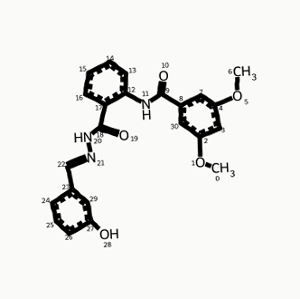 COc1cc(OC)cc(C(=O)Nc2ccccc2C(=O)N/N=C/c2cccc(O)c2)c1